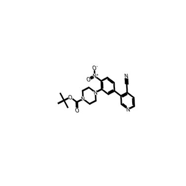 CC(C)(C)OC(=O)N1CCN(c2cc(-c3cnccc3C#N)ccc2[N+](=O)[O-])CC1